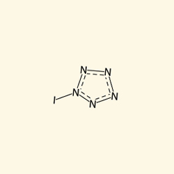 In1nnnn1